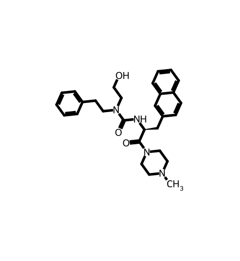 CN1CCN(C(=O)[C@H](Cc2ccc3ccccc3c2)NC(=O)N(CCO)CCc2ccccc2)CC1